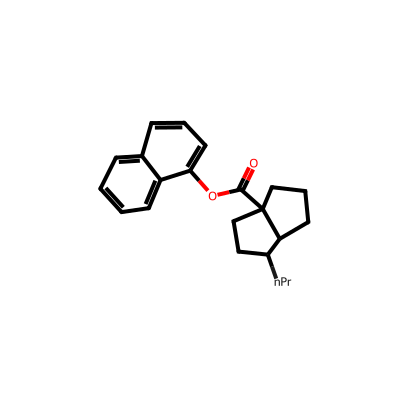 CCCC1CCC2(C(=O)Oc3cccc4ccccc34)CCCC12